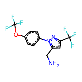 NCc1cc(C(F)(F)F)nn1-c1ccc(OC(F)(F)F)cc1